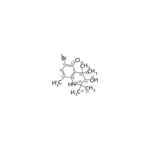 Cc1cc(Br)c(Cl)c2c1NC(C)(C)C(O)C2(C)C